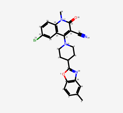 Cc1ccc2oc(C3CCN(c4c(C#N)c(=O)n(C)c5ccc(Br)cc45)CC3)nc2c1